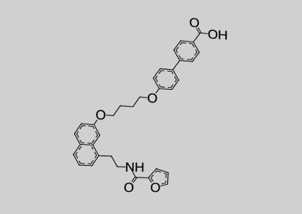 O=C(O)c1ccc(-c2ccc(OCCCCOc3ccc4cccc(CCNC(=O)c5ccco5)c4c3)cc2)cc1